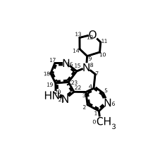 Cc1cc2c(cn1)CN(C1CCOCC1)c1nccc3[nH]nc-2c13